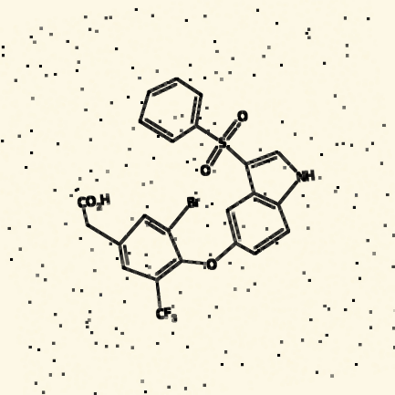 O=C(O)Cc1cc(Br)c(Oc2ccc3[nH]cc(S(=O)(=O)c4ccccc4)c3c2)c(C(F)(F)F)c1